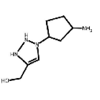 NC1CCC(N2C=C(CO)NN2)C1